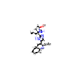 C=CCC1(c2ncc(-c3cc4ccccc4nc3OC)[nH]2)CCC(=O)N1